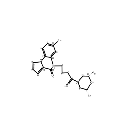 C[C@@H]1CN(C(=O)CCCn2c(=O)c3cccn3c3ccc(F)cc32)C[C@H](C)O1